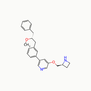 CO[C@H](Cc1ccccc1)Cc1cccc(-c2cncc(OC[C@@H]3CCN3)c2)c1